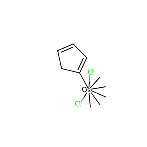 [CH3][Os]([CH3])([CH3])([CH3])([CH3])([Cl])([Cl])[C]1=CC=CC1